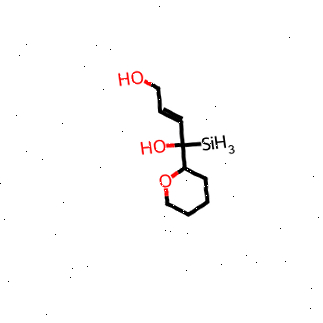 OCC=CC(O)([SiH3])C1CCCCO1